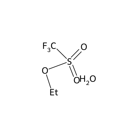 CCOS(=O)(=O)C(F)(F)F.O